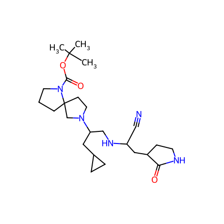 CC(C)(C)OC(=O)N1CCCC12CCN(C(CNC(C#N)CC1CCNC1=O)CC1CC1)C2